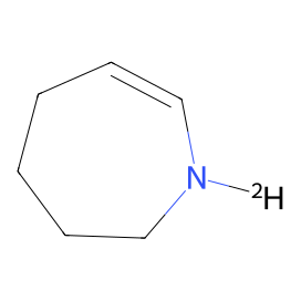 [2H]N1C=CCCCC1